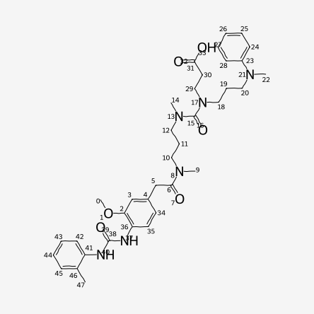 COc1cc(CC(=O)N(C)CCCN(C)C(=O)N(CCCN(C)c2ccccc2)CCC(=O)O)ccc1NC(=O)Nc1ccccc1C